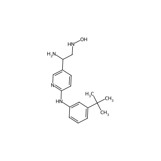 CC(C)(C)c1cccc(Nc2ccc(C(N)CNO)cn2)c1